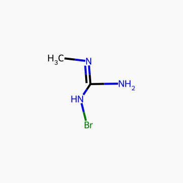 CN=C(N)NBr